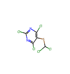 Clc1nc(Cl)c(SC(Cl)Cl)c(Cl)n1